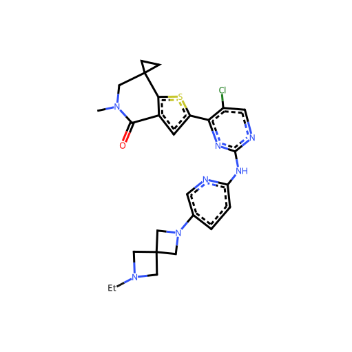 CCN1CC2(C1)CN(c1ccc(Nc3ncc(Cl)c(-c4cc5c(s4)C4(CC4)CN(C)C5=O)n3)nc1)C2